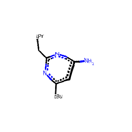 CC(C)Cc1nc(N)cc(C(C)(C)C)n1